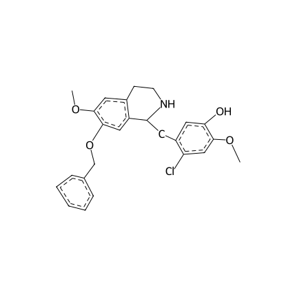 COc1cc(Cl)c(CC2NCCc3cc(OC)c(OCc4ccccc4)cc32)cc1O